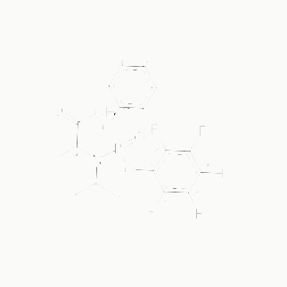 CC(C)N(C(C)C(=O)O)[P@](=O)(Oc1ccccc1)Oc1c(F)c(F)c(F)c(F)c1F